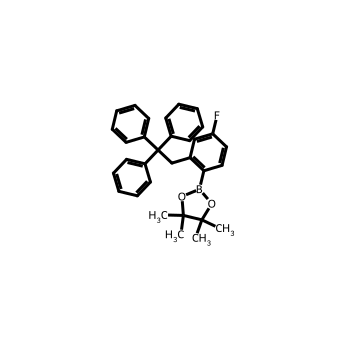 CC1(C)OB(c2ccc(F)cc2CC(c2ccccc2)(c2ccccc2)c2ccccc2)OC1(C)C